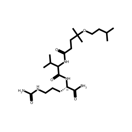 BC(=O)[C@H](CCCNC(N)=O)NC(=O)C(NC(=O)CCC(C)(C)OCCC(C)C)C(C)C